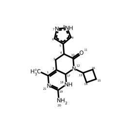 CC1=C2CC(c3cn[nH]c3)C(=O)N(C3CCC3)C2NC(N)=N1